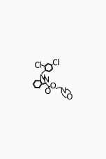 O=C(OCCN1CCOCC1)c1nn(Cc2ccc(Cl)cc2Cl)c2ccccc12